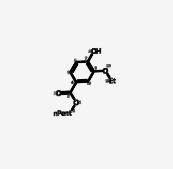 CCCCCOC(=O)c1ccc(O)c(OCC)c1